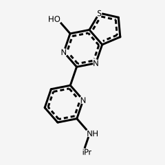 CC(C)Nc1cccc(-c2nc(O)c3sccc3n2)n1